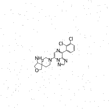 NC1COCC12CCN(c1cnc(-c3cccc(Cl)c3Cl)c3ncnn13)CC2